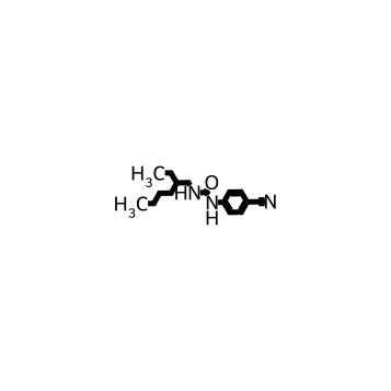 CCCCC(CC)CNC(=O)Nc1ccc(C#N)cc1